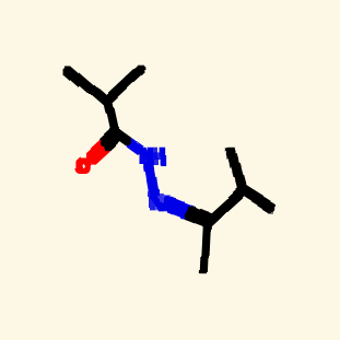 CC(=NNC(=O)C(C)C)C(C)C